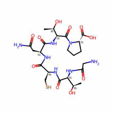 C[C@@H](O)[C@H](NC(=O)CN)C(=O)N[C@@H](CS)C(=O)N[C@@H](CC(N)=O)C(=O)N[C@H](C(=O)N1CCC[C@H]1C(=O)O)[C@@H](C)O